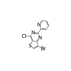 Clc1nc(-c2ccccn2)nc2c(Br)csc12